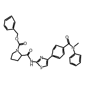 CN(C(=O)c1ccc(-c2csc(NC(=O)C3CCCN3C(=O)OCc3ccccc3)n2)cc1)c1ccccc1